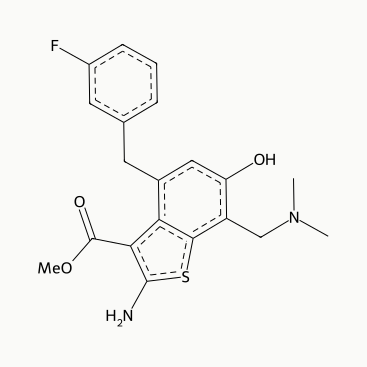 COC(=O)c1c(N)sc2c(CN(C)C)c(O)cc(Cc3cccc(F)c3)c12